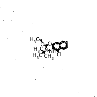 CCOC(=O)N(Nc1ccc2ccccc2c1Cl)C(C)(C)C